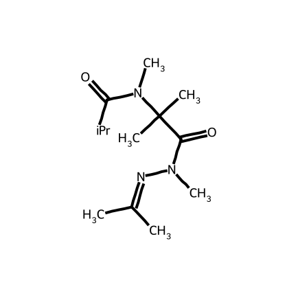 CC(C)=NN(C)C(=O)C(C)(C)N(C)C(=O)C(C)C